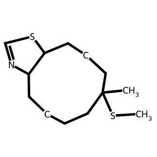 CSC1(C)CCCCC2N=CSC2CCC1